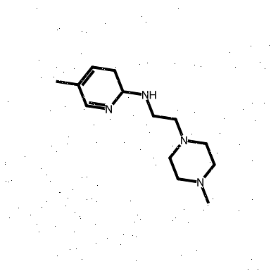 CC1=CCC(NCCN2CCN(C)CC2)N=C1